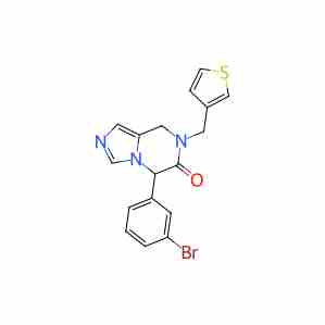 O=C1C(c2cccc(Br)c2)n2cncc2CN1Cc1ccsc1